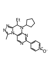 CCC1c2nnc(C)n2-c2cnc(-c3cc[n+]([O-])cc3)nc2N1C1CCCC1